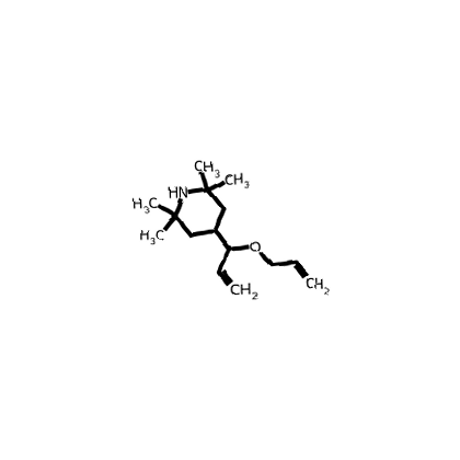 C=CCOC(C=C)C1CC(C)(C)NC(C)(C)C1